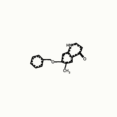 Cc1cc2c(=O)cc[nH]c2cc1OCc1ccccc1